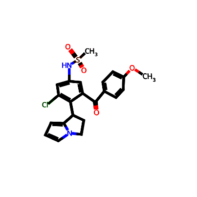 COc1ccc(C(=O)c2cc(NS(C)(=O)=O)cc(Cl)c2C2CCn3cccc32)cc1